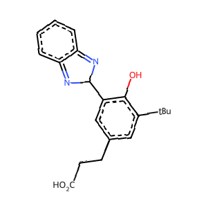 CC(C)(C)c1cc(CCC(=O)O)cc(C2N=c3ccccc3=N2)c1O